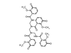 COn1c(C(=O)NCN(CN(CNC(=O)c2cccc(=O)n2OC)C(=O)c2cccc(=O)n2OC)C(=O)c2cccc(=O)n2OC)cccc1=O